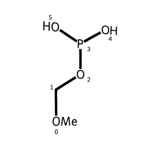 COCOP(O)O